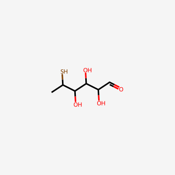 CC(S)C(O)C(O)C(O)C=O